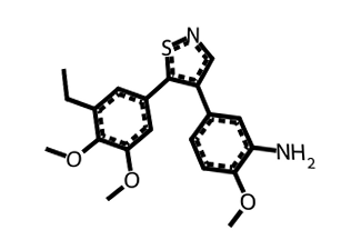 CCc1cc(-c2sncc2-c2ccc(OC)c(N)c2)cc(OC)c1OC